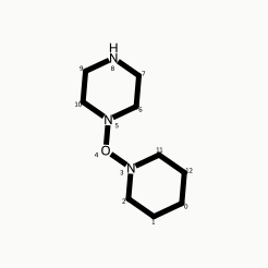 C1CCN(ON2CCNCC2)CC1